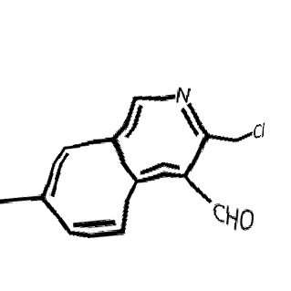 O=Cc1c(Cl)ncc2cc(Br)ccc12